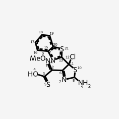 CON=C(C(O)=S)C1=NC(N)SC1(Cl)c1nc2ccccc2s1